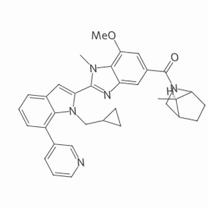 COc1cc(C(=O)N2CC3CCC2[C@@H]3C)cc2nc(-c3cc4cccc(-c5cccnc5)c4n3CC3CC3)n(C)c12